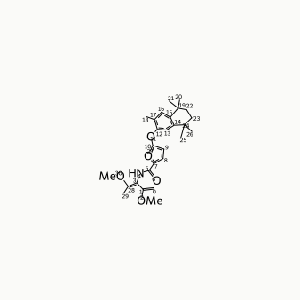 C=C(OC)/C(NC(=O)c1ccc(Oc2cc3c(cc2C)C(C)(C)CCC3(C)C)o1)=C(\C)OC